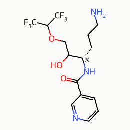 NCCC[C@H](NC(=O)c1cccnc1)C(O)COC(C(F)(F)F)C(F)(F)F